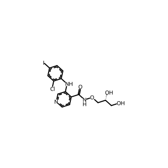 O=C(NOC[C@H](O)CO)c1ccncc1Nc1ccc(I)cc1Cl